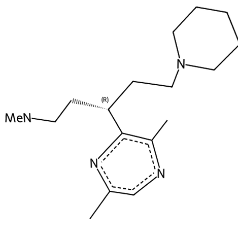 CNCC[C@H](CCN1CCCCC1)c1nc(C)cnc1C